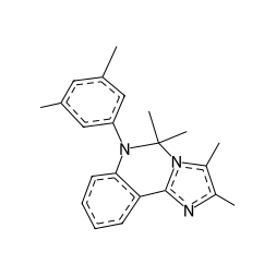 Cc1cc(C)cc(N2c3ccccc3-c3nc(C)c(C)n3C2(C)C)c1